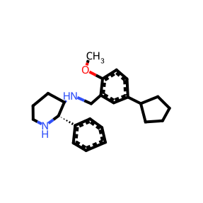 COc1ccc(C2CCCC2)cc1CN[C@H]1CCCN[C@H]1c1ccccc1